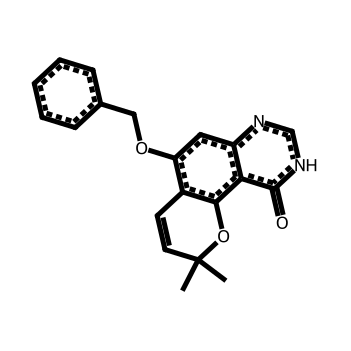 CC1(C)C=Cc2c(OCc3ccccc3)cc3nc[nH]c(=O)c3c2O1